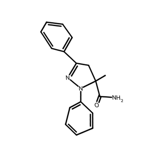 CC1(C(N)=O)CC(c2ccccc2)=NN1c1ccccc1